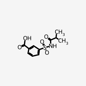 CC(C)C(=O)NS(=O)(=O)c1cccc(C(=O)O)c1